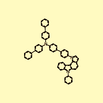 c1ccc(-c2ccc(N(c3ccc(-c4ccccc4)cc3)c3ccc(-c4ccc(-n5ccc6ccc7c(c8ccccc8n7-c7ccccc7)c65)cc4)cc3)cc2)cc1